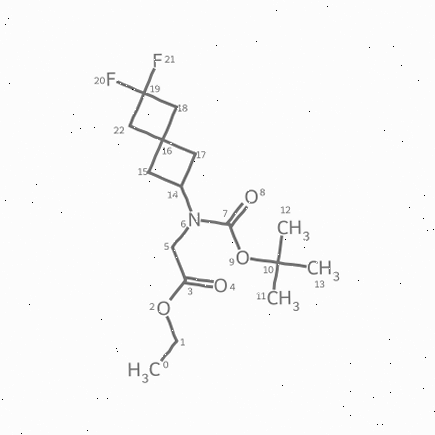 CCOC(=O)CN(C(=O)OC(C)(C)C)C1CC2(C1)CC(F)(F)C2